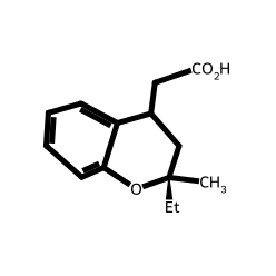 CC[C@]1(C)CC(CC(=O)O)c2ccccc2O1